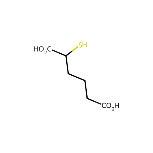 O=C(O)CCCC(S)C(=O)O